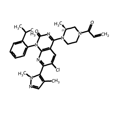 C=CC(=O)N1CCN(c2nc(=O)n(-c3ccccc3C(C)C)c3nc(-c4c(C)cnn4C)c(Cl)cc23)[C@@H](C)C1